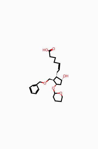 O=C(O)CCC/C=C\C[C@H]1[C@H](COCc2ccccc2)[C@H](OC2CCCCO2)C[C@H]1O